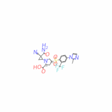 Cc1nccn1-c1ccc(S(=O)(=O)[C@@H]2C[C@@H](C(=O)O)N(C3CC3(C#N)C(N)=O)C2)c(C(F)(F)F)c1